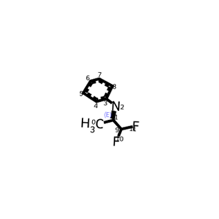 C/C(=N\c1ccccc1)C(F)F